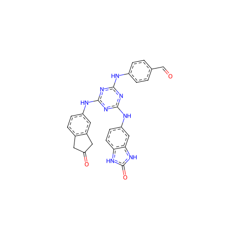 O=Cc1ccc(Nc2nc(Nc3ccc4c(c3)CC(=O)C4)nc(Nc3ccc4[nH]c(=O)[nH]c4c3)n2)cc1